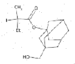 CCC(C)(I)C(=O)OC12CC3CC(CC(CO)(C3)C1)C2